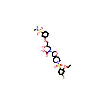 CCOc1cc(Br)ccc1S(=O)(=O)N1CCC2(CC1)C[C@H](N(C[C@H](O)COc1cccc(S(=O)(=O)NC)c1)C(=O)O)CO2